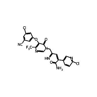 N#Cc1cc(Cl)cc(Oc2c(C(F)(F)F)ncn(CC(=N)/C=C(\C(N)=O)c3ccc(Cl)nc3)c2=O)c1